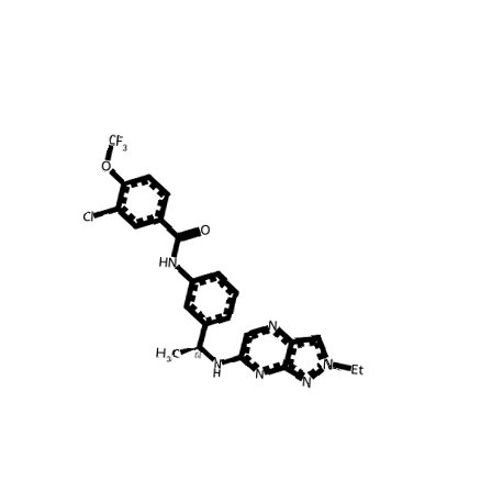 CCn1cc2ncc(N[C@@H](C)c3cccc(NC(=O)c4ccc(OC(F)(F)F)c(Cl)c4)c3)nc2n1